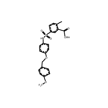 COC(=O)c1cc(S(=O)(=O)Nc2ccc(OCc3ccc(OC(F)(F)F)cc3)cc2)ccc1C